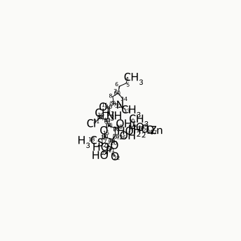 CC(=O)O.CCC[C@@H]1C[C@@H](C(=O)N[C@@H]([C@H]2O[C@H](SC)[C@H](OP(=O)(O)O)[C@@H](O)[C@H]2O)[C@H](C)Cl)N(C)C1.O.O.[Zn]